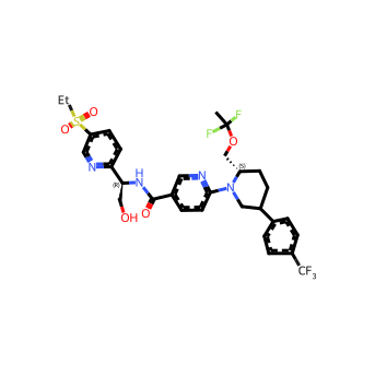 CCS(=O)(=O)c1ccc([C@H](CO)NC(=O)c2ccc(N3CC(c4ccc(C(F)(F)F)cc4)CC[C@H]3COC(C)(F)F)nc2)nc1